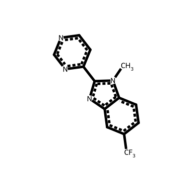 Cn1c(-c2ccncn2)nc2cc(C(F)(F)F)ccc21